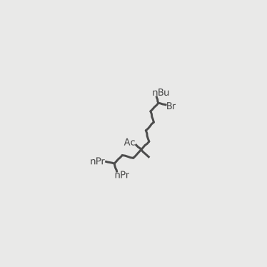 CCCCC(Br)CCCCC(C)(CCC(CCC)CCC)C(C)=O